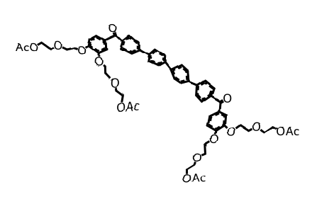 CC(=O)OCCOCCOc1ccc(C(=O)c2ccc(-c3ccc(-c4ccc(-c5ccc(C(=O)c6ccc(OCCOCCOC(C)=O)c(OCCOCCOC(C)=O)c6)cc5)cc4)cc3)cc2)cc1OCCOCCOC(C)=O